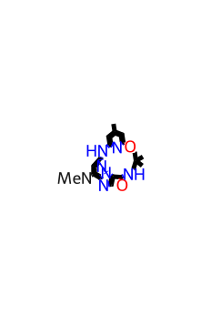 CNc1cc2nn3c(cnc13)C(=O)NCC(C)(C)COc1cc(C)cc(n1)N2